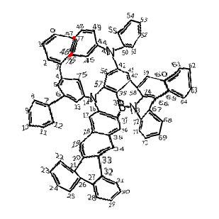 c1ccc(-c2cc(-c3ccccc3)cc(N3c4cc5cc6c7ccccc7c7ccccc7c6cc5cc4B4c5c(cc(N(c6ccccc6)c6ccccc6)cc53)-c3cc5ccccc5c5c6ccccc6n4c35)c2)cc1